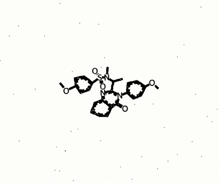 COc1ccc(-n2c(C(C)N(C)S(=O)(=O)c3ccc(OC)cc3)nc3ccccc3c2=O)cc1